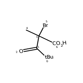 CC(C)(C)C(=O)C(C)(Br)C(=O)O